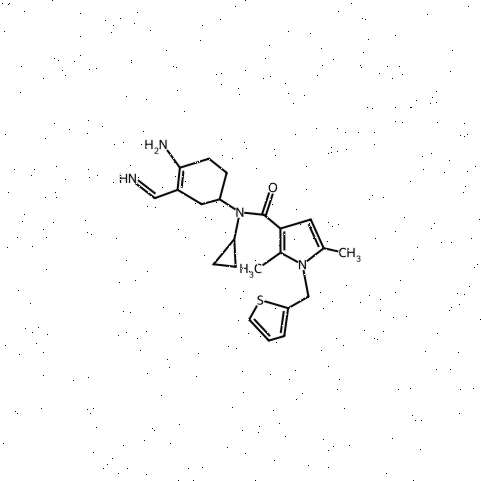 Cc1cc(C(=O)N(C2CC2)C2CCC(N)=C(C=N)C2)c(C)n1Cc1cccs1